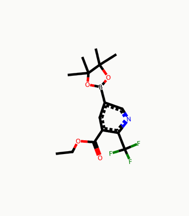 CCOC(=O)c1cc(B2OC(C)(C)C(C)(C)O2)cnc1C(F)(F)F